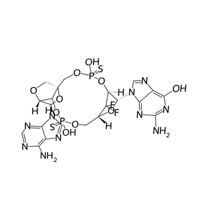 Nc1nc(O)c2ncn([C@@H]3O[C@@H]4COP(O)(=S)O[C@H]5[C@H]6OC[C@]5(COP(O)(=S)O[C@@H]3C4(F)F)O[C@H]6n3cnc4c(N)ncnc43)c2n1